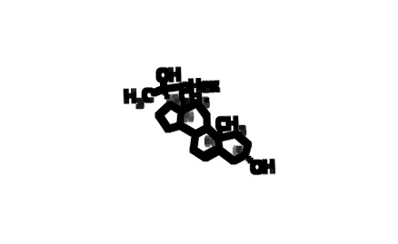 CCCCCCC(C)(O)[C@H]1CCC2C3CC=C4C[C@@H](O)CC[C@]4(C)C3CC[C@@]21C